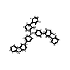 c1ccc2c(c1)sc1ccc(-c3ccc(N(c4ccc(-c5ccc6sc7ccccc7c6c5)cc4)c4cccc5c4sc4ccccc45)cc3)cc12